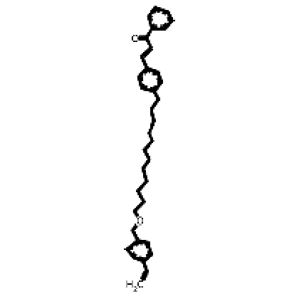 C=Cc1ccc(COCCCCCCCCCCCCc2ccc(/C=C/C(=O)c3ccccc3)cc2)cc1